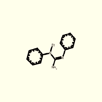 [CH2]CN(C(N)=Nc1ccccc1)c1ccccc1